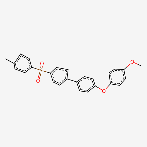 COc1ccc(Oc2ccc(-c3ccc(S(=O)(=O)c4ccc(C)cc4)cc3)cc2)cc1